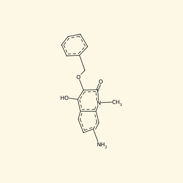 Cn1c(=O)c(OCc2ccccc2)c(O)c2ccc(N)cc21